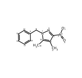 Cc1c([N+](=O)[O-])nn(Cc2ccccc2)c1C